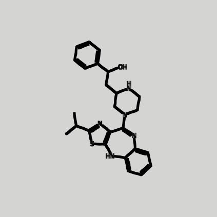 CC(C)c1nc2c(s1)Nc1ccccc1N=C2N1CCNC(CC(O)c2ccccc2)C1